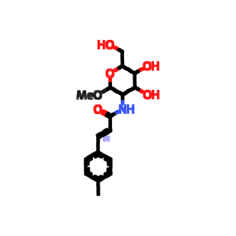 COC1OC(CO)C(O)C(O)C1NC(=O)/C=C/c1ccc(C)cc1